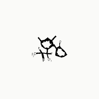 Cc1[c]c(C)c(-c2ccccc2Cl)c(C(F)(C(F)(F)F)C(F)(F)C(F)(F)F)c1